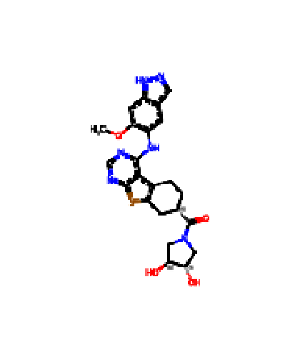 COc1cc2[nH]ncc2cc1Nc1ncnc2sc3c(c12)CC[C@H](C(=O)N1C[C@H](O)[C@@H](O)C1)C3